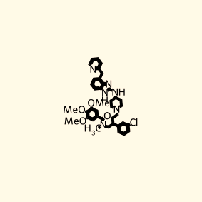 COc1cc(C(=O)N(C)CC(CCN2CCC(Nc3nc4c(Cc5ccccn5)cccc4[nH]3)CC2)c2cccc(Cl)c2)cc(OC)c1OC